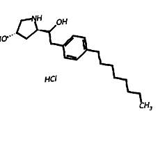 CCCCCCCCc1ccc(CC(O)[C@H]2C[C@H](O)CN2)cc1.Cl